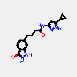 O=C(CCCc1ccc2c(=O)[nH][nH]c2c1)Nc1cc(C2CC2)[nH]n1